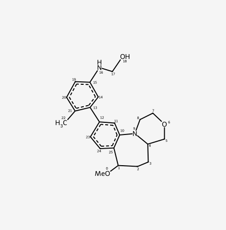 COC1CCC2COCCN2c2cc(-c3cc(NCO)ccc3C)ccc21